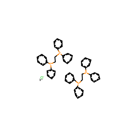 [Cl-].[Ir+].c1ccc(P(CCP(c2ccccc2)c2ccccc2)c2ccccc2)cc1.c1ccc(P(CCP(c2ccccc2)c2ccccc2)c2ccccc2)cc1